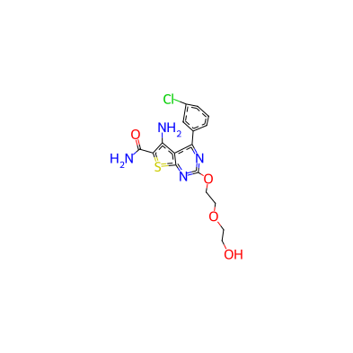 NC(=O)c1sc2nc(OCCOCCO)nc(-c3cccc(Cl)c3)c2c1N